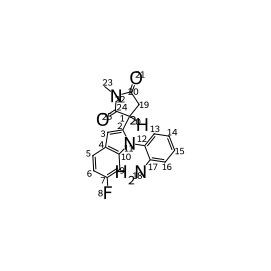 [2H]C1(c2cc3ccc(F)cc3n2-c2ccccc2N)CC(=O)N(C)C1=O